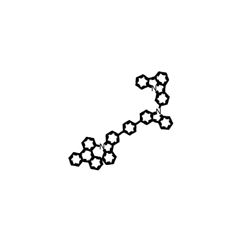 c1ccc2c(c1)c1ccccc1c1c(-n3c4ccccc4c4cc(-c5ccc(-c6ccc7c(c6)c6ccccc6n7-c6ccc7c8cccc9c%10ccccc%10n(c7c6)c98)cc5)ccc43)cccc21